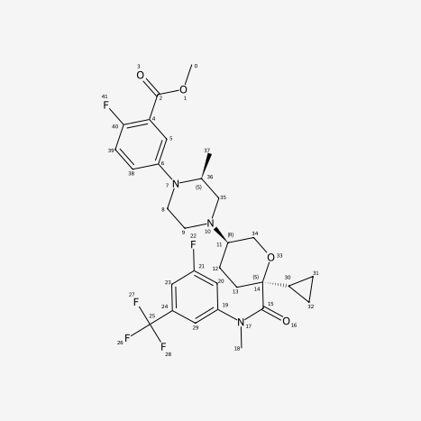 COC(=O)c1cc(N2CCN([C@@H]3CC[C@@](C(=O)N(C)c4cc(F)cc(C(F)(F)F)c4)(C4CC4)OC3)C[C@@H]2C)ccc1F